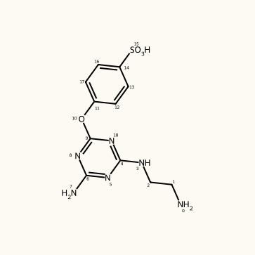 NCCNc1nc(N)nc(Oc2ccc(S(=O)(=O)O)cc2)n1